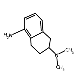 CN(C)C1CCc2c(N)cccc2C1